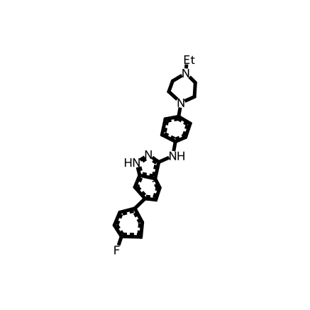 CCN1CCN(c2ccc(Nc3n[nH]c4cc(-c5ccc(F)cc5)ccc34)cc2)CC1